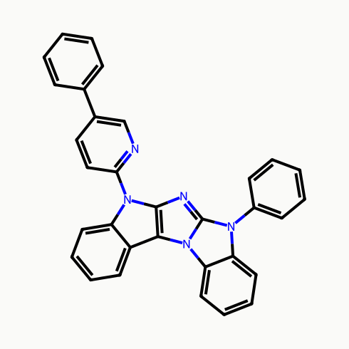 c1ccc(-c2ccc(-n3c4ccccc4c4c3nc3n(-c5ccccc5)c5ccccc5n43)nc2)cc1